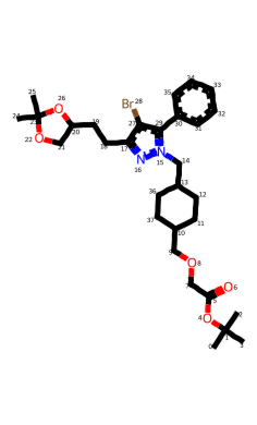 CC(C)(C)OC(=O)COCC1CCC(Cn2nc(CCC3COC(C)(C)O3)c(Br)c2-c2ccccc2)CC1